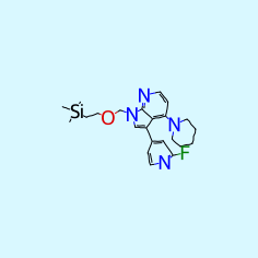 C[Si](C)(C)CCOCn1cc(-c2ccnc(F)c2)c2c(N3CCCCC3)ccnc21